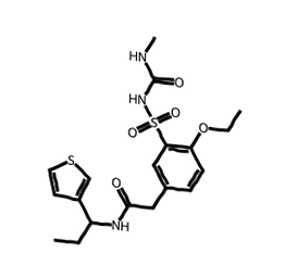 CCOc1ccc(CC(=O)NC(CC)c2ccsc2)cc1S(=O)(=O)NC(=O)NC